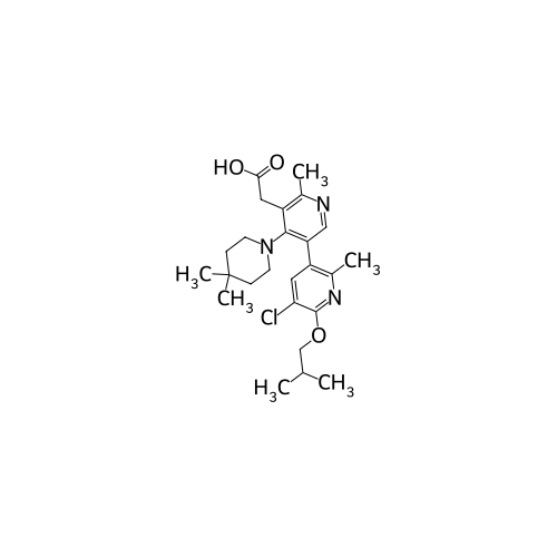 Cc1nc(OCC(C)C)c(Cl)cc1-c1cnc(C)c(CC(=O)O)c1N1CCC(C)(C)CC1